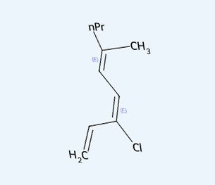 C=C/C(Cl)=C\C=C(/C)CCC